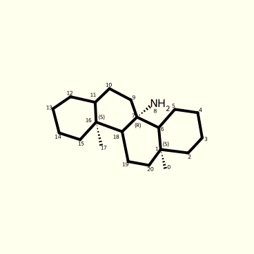 C[C@@]12CCCCC1[C@]1(N)CCC3CCCC[C@]3(C)C1CC2